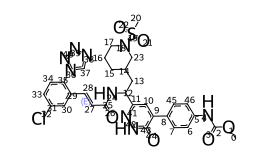 COC(=O)Nc1ccc(-c2cc(C(CC3CCCN(S(C)(=O)=O)C3)NC(=O)/C=C/c3cc(Cl)ccc3-n3cnnn3)n[nH]c2=O)cc1